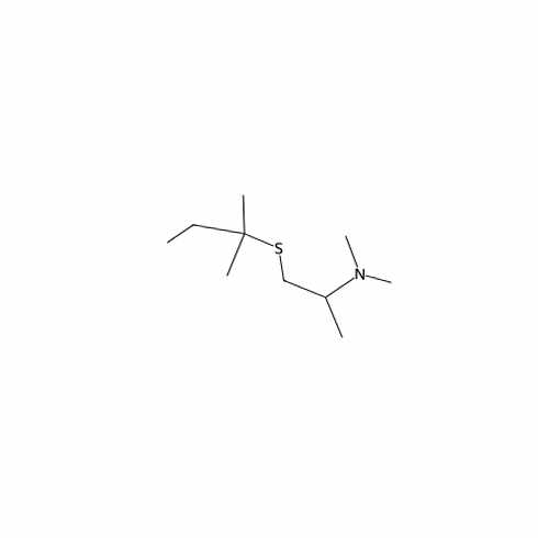 CCC(C)(C)SCC(C)N(C)C